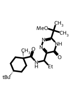 CCC(NC(=O)[C@]1(C)CC[C@@H](C(C)(C)C)CC1)c1nnc(C(C)(C)OC)[nH]c1=O